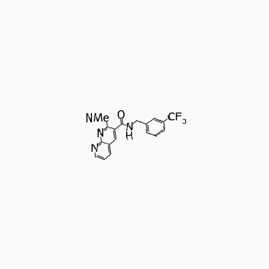 CNc1nc2ncccc2cc1C(=O)NCc1cccc(C(F)(F)F)c1